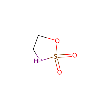 O=S1(=O)OCCP1